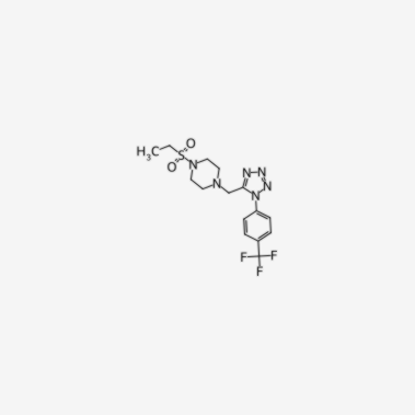 CCS(=O)(=O)N1CCN(Cc2nnnn2-c2ccc(C(F)(F)F)cc2)CC1